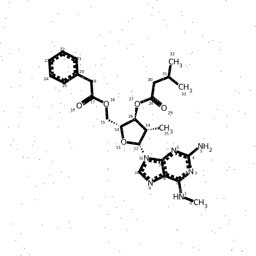 CNc1nc(N)nc2c1ncn2[C@@H]1O[C@H](COC(=O)Cc2ccccc2)[C@@H](OC(=O)CC(C)C)[C@@H]1C